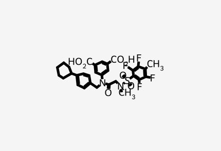 Cc1c(F)c(F)c(S(=O)(=O)N(C)CC(=O)N(Cc2ccc(C3CCCCC3)cc2)c2cc(C(=O)O)cc(C(=O)O)c2)c(F)c1F